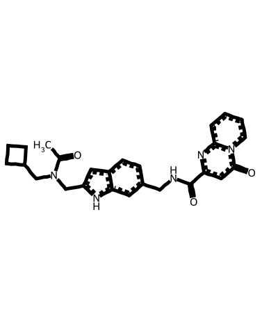 CC(=O)N(Cc1cc2ccc(CNC(=O)c3cc(=O)n4ccccc4n3)cc2[nH]1)CC1CCC1